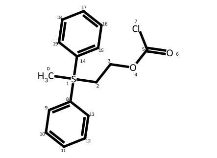 CS(CCOC(=O)Cl)(c1ccccc1)c1ccccc1